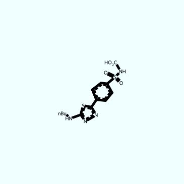 CCCCNc1nnc(-c2ccc(S(=O)(=O)NC(=O)O)cc2)s1